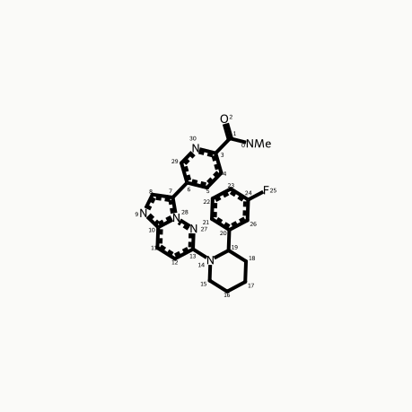 CNC(=O)c1ccc(-c2cnc3ccc(N4CCCCC4c4cccc(F)c4)nn23)cn1